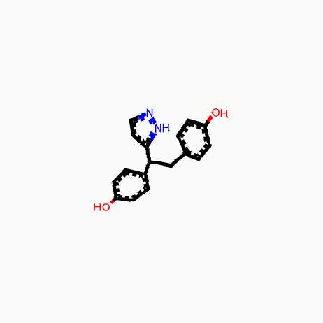 Oc1ccc(CC(c2ccc(O)cc2)c2ccn[nH]2)cc1